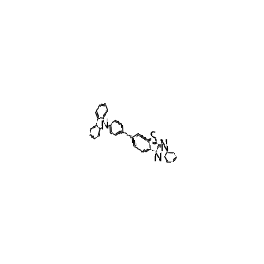 c1ccc2nc3c(nc2c1)sc1cc(-c2ccc(-n4c5ccccc5c5ccccc54)cc2)ccc13